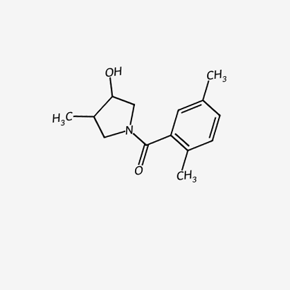 Cc1ccc(C)c(C(=O)N2CC(C)C(O)C2)c1